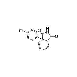 O=C1NC(=O)C2(c3ccc(Cl)cc3)C=CC=CC12